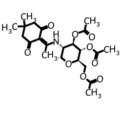 CC(=O)OC[C@H]1O[CH][C@H](NC(C)=C2C(=O)CC(C)(C)CC2=O)[C@@H](OC(C)=O)[C@@H]1OC(C)=O